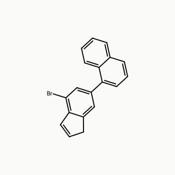 Brc1cc(-c2cccc3ccccc23)cc2c1C=CC2